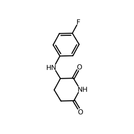 O=C1CCC(Nc2ccc(F)cc2)C(=O)N1